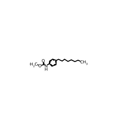 [CH2]OC(=O)Nc1ccc(CCCCCCCC)cc1